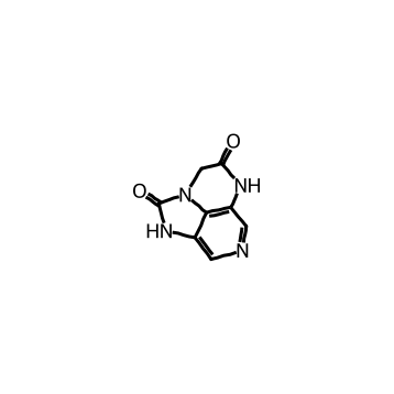 O=C1Cn2c(=O)[nH]c3cncc(c32)N1